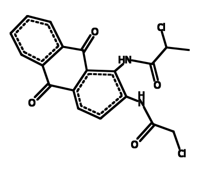 CC(Cl)C(=O)Nc1c(NC(=O)CCl)ccc2c1C(=O)c1ccccc1C2=O